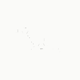 CCOC(=O)CSc1ccc(C(=O)N2CCN(c3cccc(Cl)c3)C(C)C2C)cc1F